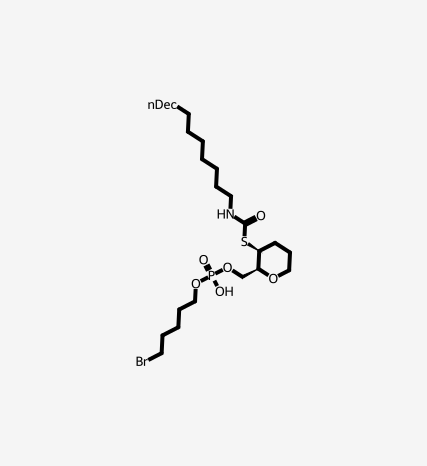 CCCCCCCCCCCCCCCCCNC(=O)S[C@H]1CCCO[C@H]1COP(=O)(O)OCCCCCBr